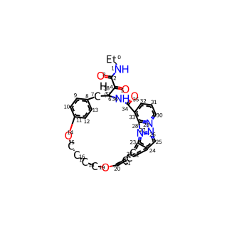 CCNC(=O)C(=O)[C@@H]1Cc2ccc(cc2)OCCCCOc2ccc3c(cnn3-c3ncccc3C(=O)N1)c2